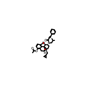 CC(=O)Oc1ccc2c3c1C[C@@H]1[C@@H]4CC[C@@H](N(CC(C)C)C(=O)C#Cc5ccccc5)[C@H](O2)[C@]34CCN1CC1CC1